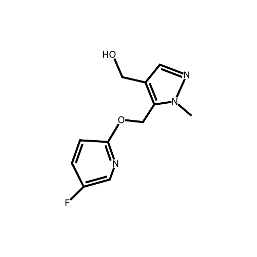 Cn1ncc(CO)c1COc1ccc(F)cn1